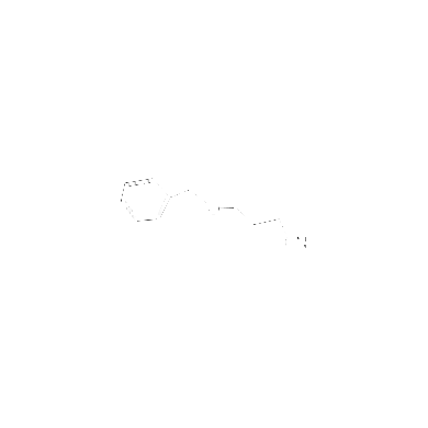 N#CCCCO[CH]c1ccccc1